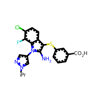 CC(C)n1cc(-n2c(N)c(Sc3cccc(C(=O)O)c3)c3ccc(Cl)c(F)c32)cn1